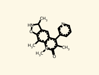 Cc1c(-c2cccnc2)c2cc3c(c(C)c2n(C)c1=O)ONC3C